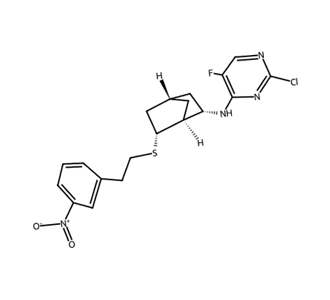 O=[N+]([O-])c1cccc(CCS[C@@H]2C[C@H]3C[C@H]2[C@@H](Nc2nc(Cl)ncc2F)C3)c1